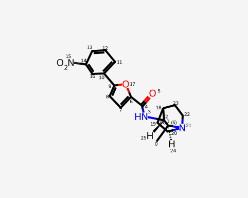 C[C@H]1[C@H](NC(=O)c2ccc(-c3cccc([N+](=O)[O-])c3)o2)C2CCN1CC2